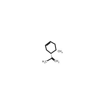 C.C=C(C)[C@@H]1CC=CCC1